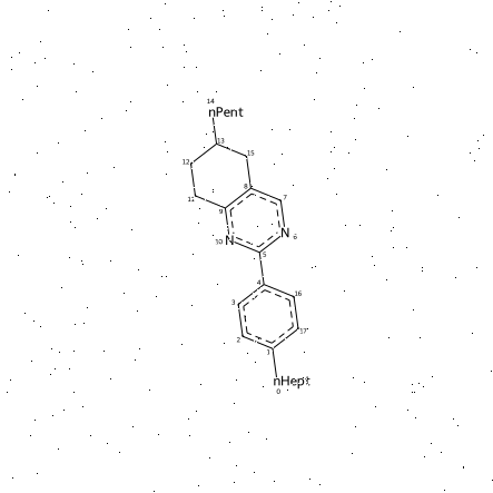 CCCCCCCc1ccc(-c2ncc3c(n2)CCC(CCCCC)C3)cc1